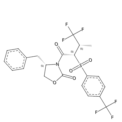 C[C@H]([C@@H](C(=O)N1C(=O)OC[C@@H]1Cc1ccccc1)S(=O)(=O)c1ccc(C(F)(F)F)cc1)C(F)(F)F